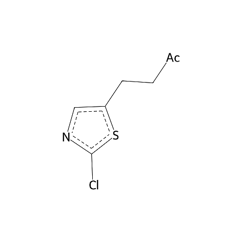 CC(=O)CCc1cnc(Cl)s1